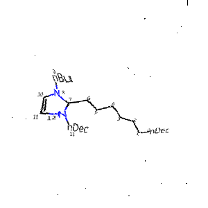 CCCCCCCCCCCCCCCCC1N(CCCC)C=CN1CCCCCCCCCC